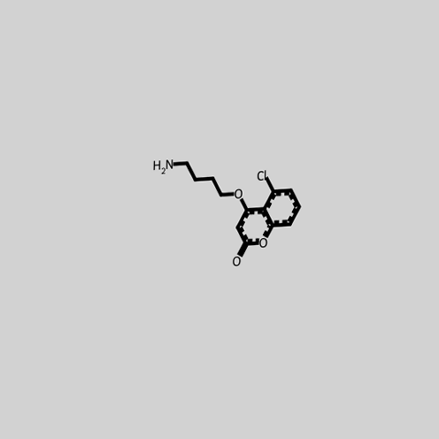 NCCCCOc1cc(=O)oc2cccc(Cl)c12